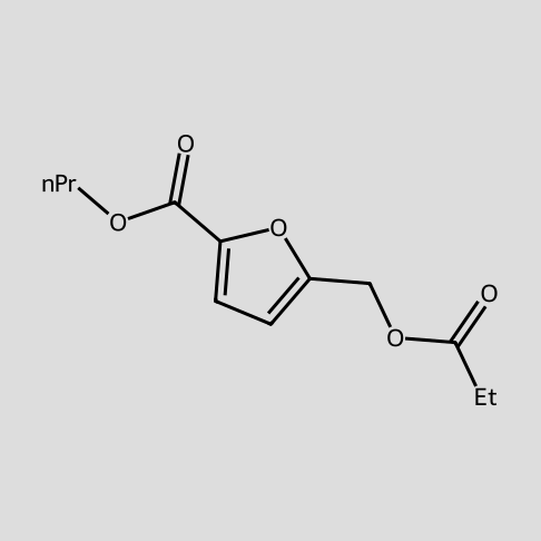 CCCOC(=O)c1ccc(COC(=O)CC)o1